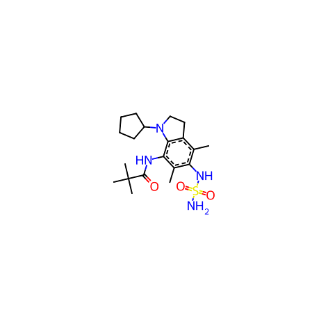 Cc1c2c(c(NC(=O)C(C)(C)C)c(C)c1NS(N)(=O)=O)N(C1CCCC1)CC2